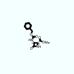 COC(=O)[C@@H]1NC(=O)[C@@H]1NC(=O)OCc1ccccc1